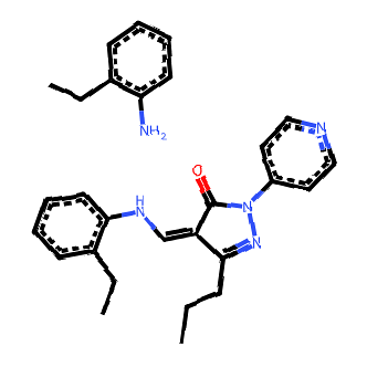 CCCC1=NN(c2ccncc2)C(=O)C1=CNc1ccccc1CC.CCc1ccccc1N